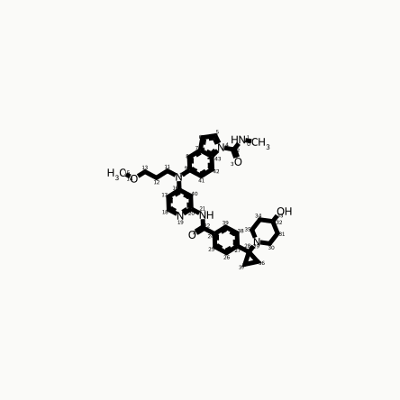 CNC(=O)n1ccc2cc(N(CCCOC)c3ccnc(NC(=O)c4ccc(C5(N6CCC(O)CC6)CC5)cc4)c3)ccc21